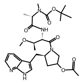 CO[C@H](C)[C@H](NC(=O)[C@H](C)N(C)C(=O)OC(C)(C)C)C(=O)N1CC(OC(C)=O)C[C@H]1Cc1c[nH]c2ncccc12